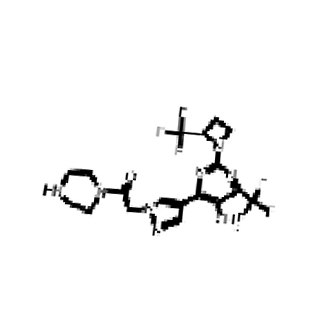 Cc1c(-c2cnn(CC(=O)N3CCNCC3)c2)nc(N2CC[C@@H]2C(F)(F)F)nc1C(F)(F)F